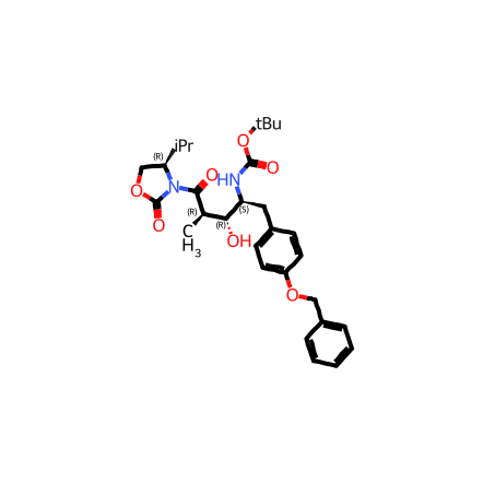 CC(C)[C@@H]1COC(=O)N1C(=O)[C@H](C)[C@@H](O)[C@H](Cc1ccc(OCc2ccccc2)cc1)NC(=O)OC(C)(C)C